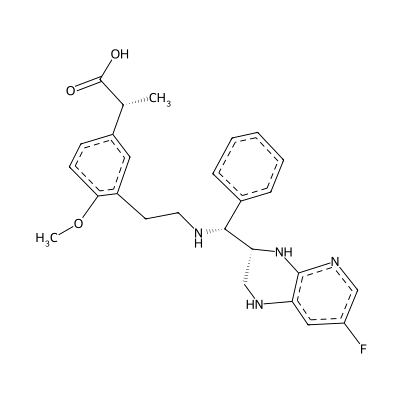 COc1ccc([C@@H](C)C(=O)O)cc1CCN[C@H](c1ccccc1)[C@H]1CNc2cc(F)cnc2N1